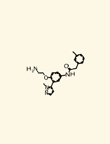 Cc1cccc(CC(=O)Nc2ccc(OCCN)c(-c3ccnn3C)c2)c1